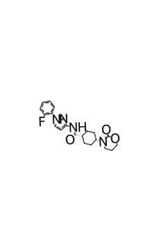 O=C1OCCCN1[C@H]1CC[C@@H](C(=O)Nc2ccn(-c3ccccc3F)n2)CC1